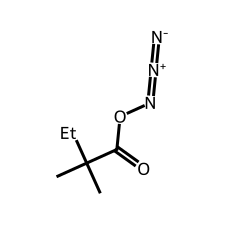 CCC(C)(C)C(=O)ON=[N+]=[N-]